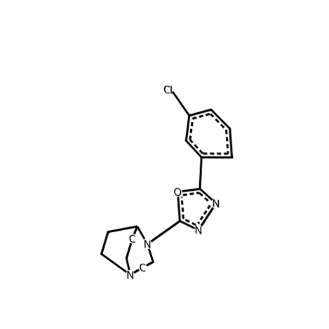 Clc1cccc(-c2nnc(N3CCN4CCC3CC4)o2)c1